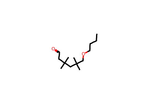 CCCCOCC(C)(C)CC(C)(C)CC=O